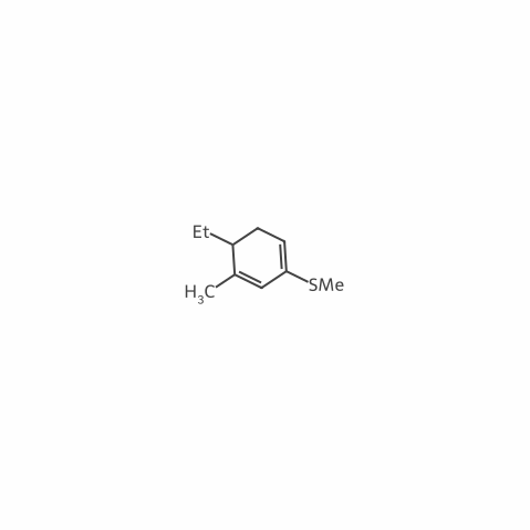 CCC1CC=C(SC)C=C1C